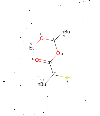 CCCCC(OCC)OC(=O)C(S)CCCC